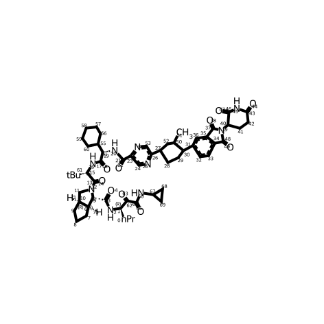 CCC[C@@H](NC(=O)[C@@H]1[C@H]2CCC[C@H]2CN1C(=O)[C@@H](NC(=O)[C@@H](NC(=O)c1cnc(C2CCC(c3ccc4c(c3)C(=O)N(C3CCC(=O)NC3=O)C4=O)C(C)C2)cn1)C1CCCCC1)C(C)(C)C)C(=O)C(=O)NC1CC1